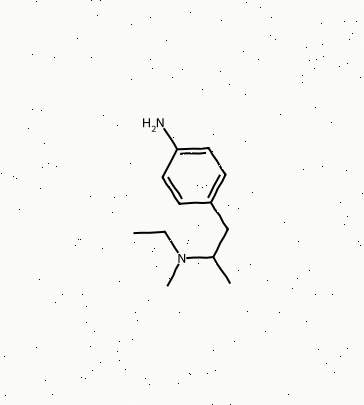 CCN(C)C(C)Cc1ccc(N)cc1